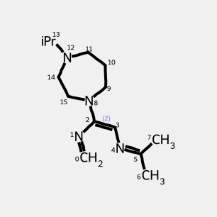 C=N/C(=C\N=C(C)C)N1CCCN(C(C)C)CC1